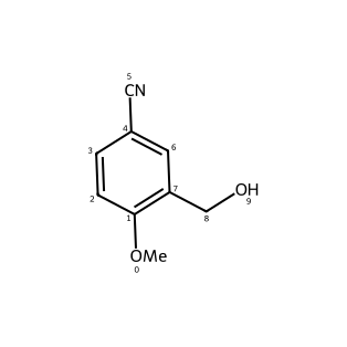 COc1ccc(C#N)cc1CO